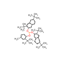 Cc1ccc(OP(Oc2cc3ccc(C(C)(C)C)cc3cc2C(C)(C)C)Oc2cc3ccc(C(C)(C)C)cc3cc2C(C)(C)C)c(C(C)(C)C)c1